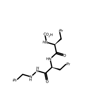 CC(C)CNNC(=O)[C@H](CC(C)C)NC(=O)[C@H](CC(C)C)NC(=O)O